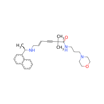 C[C@@H](NC/C=C/C#CC(C)(C)C(=O)NCCCN1CCOCC1)c1cccc2ccccc12